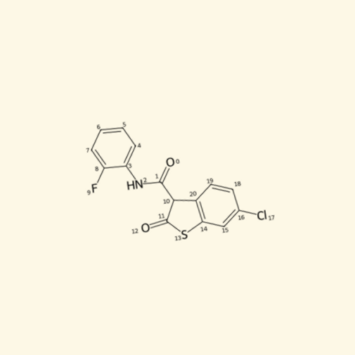 O=C(Nc1ccccc1F)C1C(=O)Sc2cc(Cl)ccc21